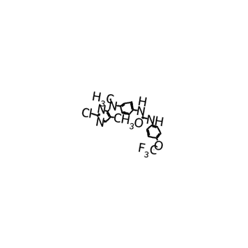 Cc1cnc(Cl)nc1N(C)c1ccc(NC(=O)Nc2ccc(OC(F)(F)F)cc2)cc1